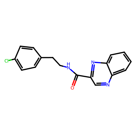 O=C(NCCc1ccc(Cl)cc1)c1cnc2ccccc2n1